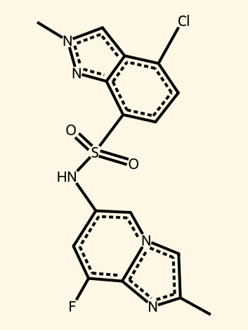 Cc1cn2cc(NS(=O)(=O)c3ccc(Cl)c4cn(C)nc34)cc(F)c2n1